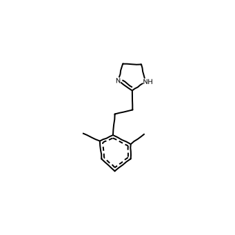 Cc1cccc(C)c1CCC1=NCCN1